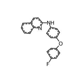 Fc1ccc(Oc2ccc(Nc3ccc4ccccc4n3)cc2)cc1